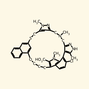 Cc1[nH]nc2c1-c1c(Cl)ccc3c(c(C(=O)O)n(C)c13)CCCOc1cc(cc3ccccc13)SCc1cc(nn1C)CN(C)C2